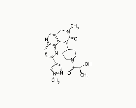 C[C@H](O)C(=O)N1CCC(N2C(=O)N(C)Cc3cnc4ccc(-c5cnn(C)c5)nc4c32)CC1